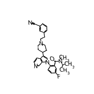 CC(C)N(C)C(=O)c1cc(F)ccc1-n1cc(C2CCN(CCc3cccc(C#N)c3)CC2)c2ccncc21